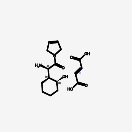 N[C@@H](C(=O)N1CC=CC1)[C@@H]1CCCC[C@H]1O.O=C(O)/C=C/C(=O)O